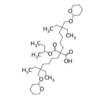 CCC(C)OC(=O)C(CCCCC(CC)(CC)COC1CCCCO1)(CCCCC(CC)(CC)COC1CCCCO1)C(=O)O